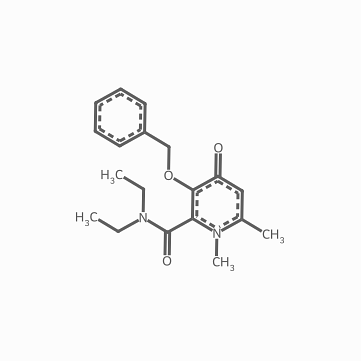 CCN(CC)C(=O)c1c(OCc2ccccc2)c(=O)cc(C)n1C